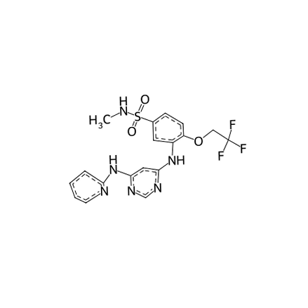 CNS(=O)(=O)c1ccc(OCC(F)(F)F)c(Nc2cc(Nc3ccccn3)ncn2)c1